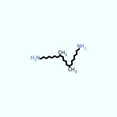 CC(CCCCCCCN)CCCCC(C)CCCCCCCN